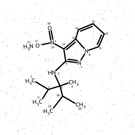 CC(C)C(C)(Nc1nn2ccccc2c1[N+](=O)[O-])C(C)C.N